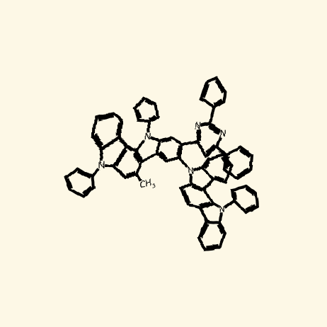 Cc1cc2c(c3ccccc3n2-c2ccccc2)c2c1c1cc(-n3c4ccccc4c4c3ccc3c5ccccc5n(-c5ccccc5)c34)c(-c3cc(-c4ccccc4)nc(-c4ccccc4)n3)cc1n2-c1ccccc1